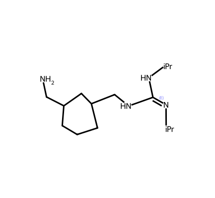 CC(C)/N=C(\NCC1CCCC(CN)C1)NC(C)C